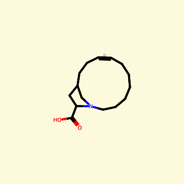 O=C(O)C1CC2CC/C=C\CCCCCCN1C2